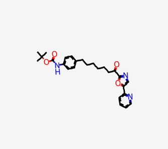 CC(C)(C)OC(=O)Nc1ccc(CCCCCCC(=O)c2ncc(-c3ccccn3)o2)cc1